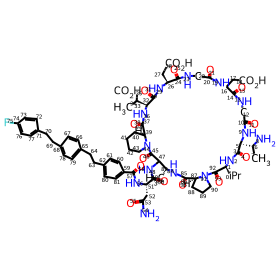 CC(C)[C@@H]1NC(=O)[C@@H](C(C)N)NC(=O)CNC(=O)C(CC(=O)O)NC(=O)CNC(=O)[C@H](CC(=O)O)NC(=O)[C@H](C(C)C(=O)O)NC(=O)[C@H]2CCCCN2C(=O)C(NC(=O)[C@H](CC(N)=O)NC(=O)c2ccc(CCc3ccc(CCc4ccc(F)cc4)cc3)cc2)[C@@H](C)NC(=O)[C@@H]2CCCN2C1=O